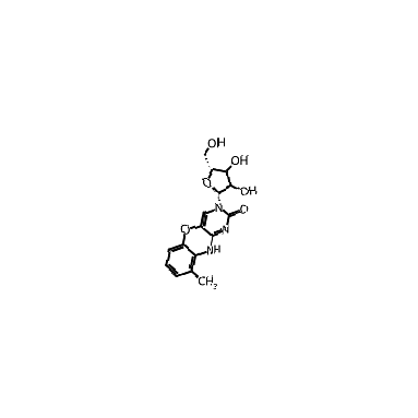 Cc1cccc2c1Nc1nc(=O)n([C@@H]3O[C@H](CO)C(O)C3O)cc1O2